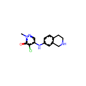 Cn1ncc(Nc2ccc3c(c2)CNCC3)c(Cl)c1=O